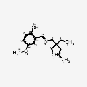 CCCC(CC)(CC)C/N=C/c1cc(OC)ccc1O